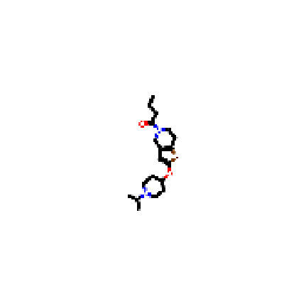 CCCC(=O)N1CCc2sc(OC3CCN(C(C)C)CC3)cc2C1